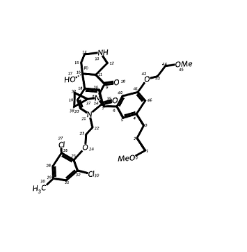 COCCCc1cc(CN(C(=O)C2CNCC[C@]2(O)c2ccn(CCOc3c(Cl)cc(C)cc3Cl)c(=O)c2)C2CC2)cc(OCCOC)c1